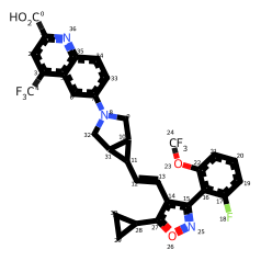 O=C(O)c1cc(C(F)(F)F)c2cc(N3CC4C(/C=C/c5c(-c6c(F)cccc6OC(F)(F)F)noc5C5CC5)C4C3)ccc2n1